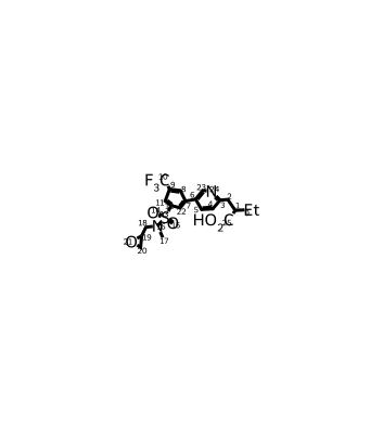 CCC(Cc1ccc(-c2cc(C(F)(F)F)cc(S(=O)(=O)N(C)CC3CO3)c2)cn1)C(=O)O